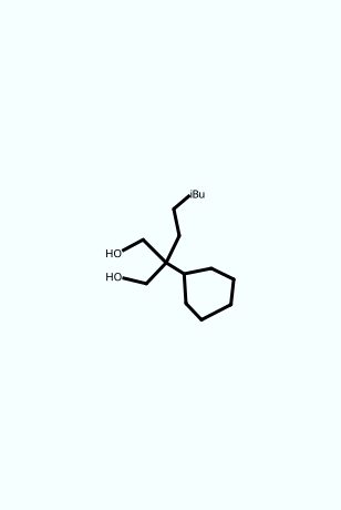 CCC(C)CCC(CO)(CO)C1CCCCC1